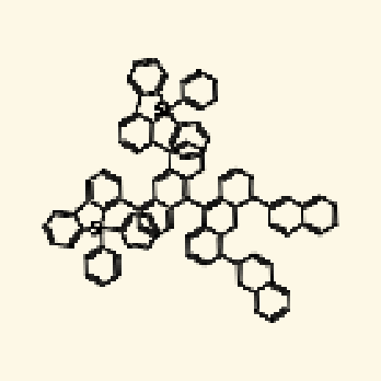 c1ccc([Si]2(c3ccccc3)c3ccccc3-c3cccc(-c4cccc5c(-c6c7cccc(-c8ccc9ccccc9c8)c7cc7c(-c8ccc9ccccc9c8)cccc67)c6cccc(-c7cccc8c7[Si](c7ccccc7)(c7ccccc7)c7ccccc7-8)c6cc45)c32)cc1